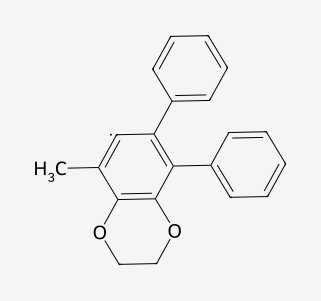 Cc1[c]c(-c2ccccc2)c(-c2ccccc2)c2c1OCCO2